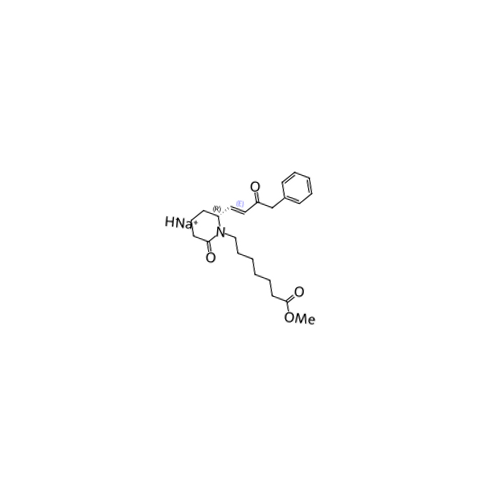 COC(=O)CCCCCCN1C(=O)CCC[C@@H]1/C=C/C(=O)Cc1ccccc1.[H-].[Na+]